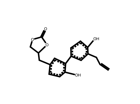 C=CCc1cc(-c2cc(CC3COC(=O)O3)ccc2O)ccc1O